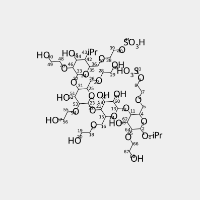 CC(C)OC1OC(COCCOS(=O)(=O)O)C(OC2OC(COCCO)C(OC3OC(COCCO)C(OC4OC(COCCOS(=O)(=O)O)C(C(C)C)C(O)C4OCCO)C(O)C3OCCO)C(O)C2O)C(O)C1OCCO